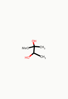 COC(C)(O)C(C)O